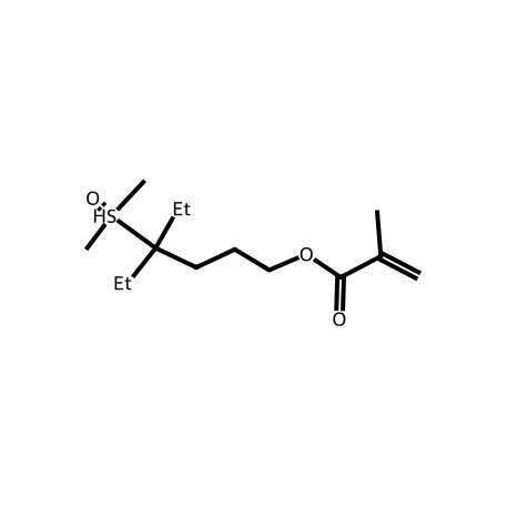 C=C(C)C(=O)OCCCC(CC)(CC)[SH](C)(C)=O